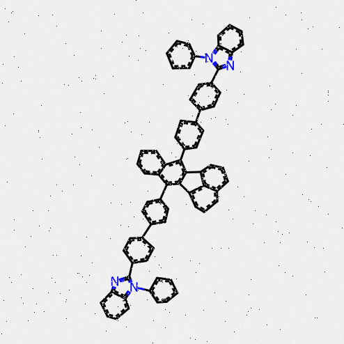 c1ccc(-n2c(-c3ccc(-c4ccc(-c5c6c(c(-c7ccc(-c8ccc(-c9nc%10ccccc%10n9-c9ccccc9)cc8)cc7)c7ccccc57)-c5cccc7cccc-6c57)cc4)cc3)nc3ccccc32)cc1